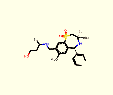 C/C=C\C(=C/C)[C@H]1N[C@](CC)(CCCC)CS(=O)(=O)c2cc(CNC(CC)CCO)c(OC)cc21